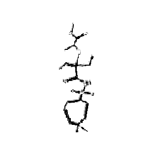 CCC(CC)(OC(C)C(=O)OC)C(=O)NS(=O)(=O)C1=CC=CC(C)(C)C=C1